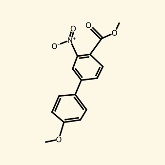 COC(=O)c1ccc(-c2ccc(OC)cc2)cc1[N+](=O)[O-]